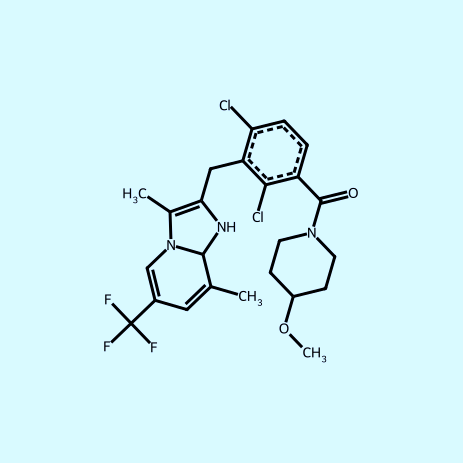 COC1CCN(C(=O)c2ccc(Cl)c(CC3=C(C)N4C=C(C(F)(F)F)C=C(C)C4N3)c2Cl)CC1